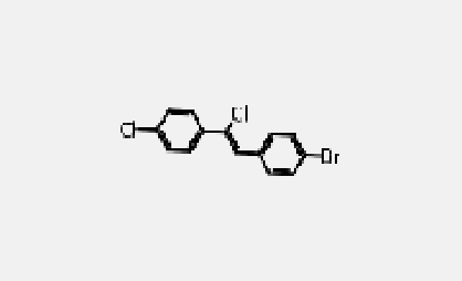 ClC(=Cc1ccc(Br)cc1)c1ccc(Cl)cc1